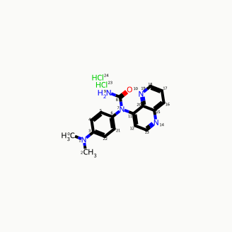 CN(C)c1ccc(N(C(N)=O)c2ccnc3cccnc23)cc1.Cl.Cl